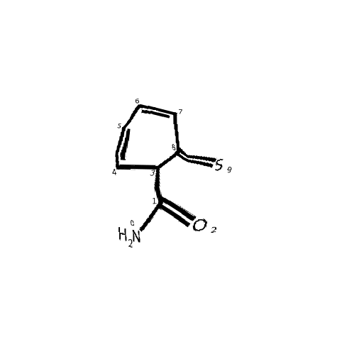 NC(=O)C1C=CC=CC1=S